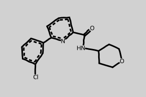 O=C(NC1CCOCC1)c1cccc(-c2cccc(Cl)c2)n1